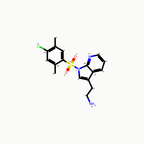 Cc1cc(S(=O)(=O)n2cc(CCN)c3cccnc32)c(C)cc1Cl